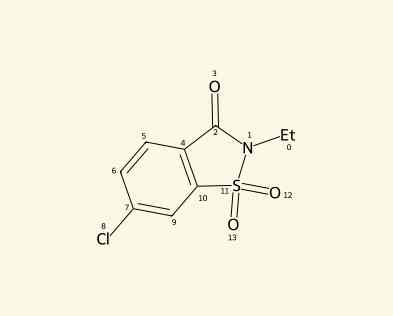 CCN1C(=O)c2ccc(Cl)cc2S1(=O)=O